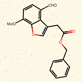 COc1ccc(C=O)c2c(CC(=O)OCc3ccccc3)coc12